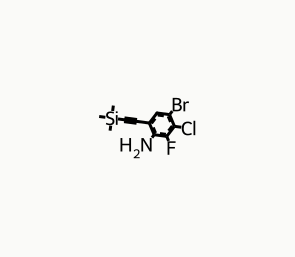 C[Si](C)(C)C#Cc1cc(Br)c(Cl)c(F)c1N